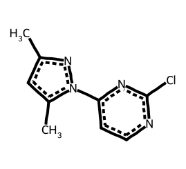 Cc1cc(C)n(-c2ccnc(Cl)n2)n1